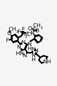 COc1cc(CC(F)(F)F)c(-c2nc(NCc3ccccc3N(C)S(C)(=O)=O)c3c(-c4nnc(C5CCNCC5)[nH]4)n[nH]c3n2)cc1F